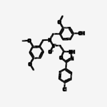 COc1ccc(CN(Cc2ccc(O)cc2OC)[S+]([O-])CC2NN=C(c3ccc(Cl)cc3)O2)c(OC)c1